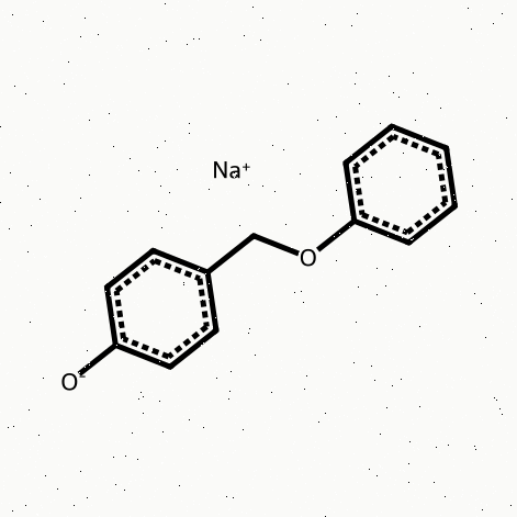 [Na+].[O-]c1ccc(COc2ccccc2)cc1